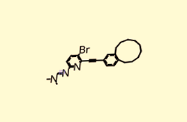 CN(C)/C=N/c1ccc(Br)c(C#Cc2ccc3c(c2)CCCCCCCCC3)n1